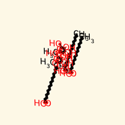 CCCCCCCCCCCCCCCCCC(=O)O.CCCCCCCCCCCCCCCCCC(=O)O.CCCCCCCCCCCCCCCCCC(=O)O.COC1O[C@H](CO)[C@@H](O)[C@H](O)[C@H]1O.COC1O[C@H](CO)[C@@H](O)[C@H](O)[C@H]1O